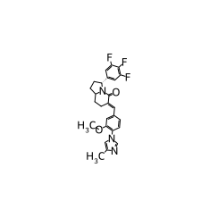 COc1cc(/C=C2\CCC3CC[C@H](c4cc(F)c(F)c(F)c4)N3C2=O)ccc1-n1cnc(C)c1